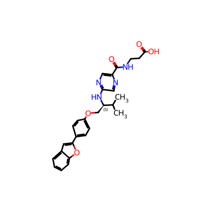 CC(C)[C@@H](COc1ccc(-c2cc3ccccc3o2)cc1)Nc1cnc(C(=O)NCCC(=O)O)cn1